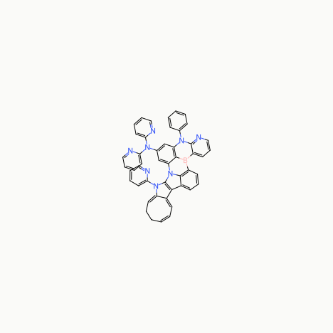 C1=C/CC\C=c2/c(c3c4cccc5c4n(c3n2-c2ccccn2)-c2cc(N(c3ccccn3)c3ccccn3)cc3c2B5c2cccnc2N3c2ccccc2)=C\1